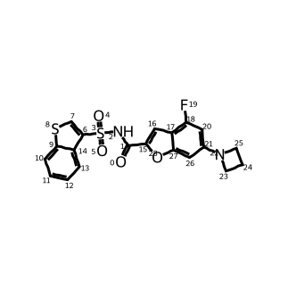 O=C(NS(=O)(=O)c1csc2ccccc12)c1cc2c(F)cc(N3CCC3)cc2o1